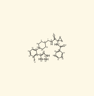 O=C(NC1(C(=O)NCC2CCN(c3cccc(F)c3C3=NNNN3)CC2)CC1)c1cncnc1